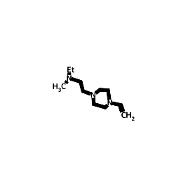 C=CN1CCN(CCN(C)CC)CC1